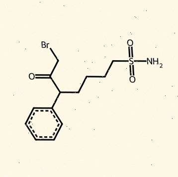 NS(=O)(=O)CCCCC(C(=O)CBr)c1ccccc1